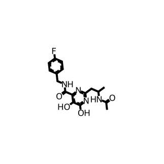 CC(=O)NC(C)Cc1nc(O)c(O)c(C(=O)NCc2ccc(F)cc2)n1